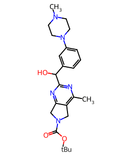 Cc1nc(C(O)c2cccc(N3CCN(C)CC3)c2)nc2c1CN(C(=O)OC(C)(C)C)C2